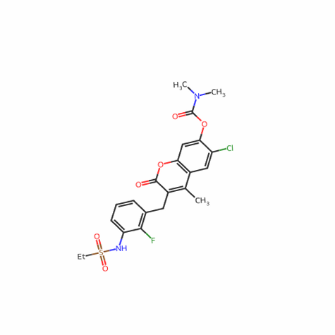 CCS(=O)(=O)Nc1cccc(Cc2c(C)c3cc(Cl)c(OC(=O)N(C)C)cc3oc2=O)c1F